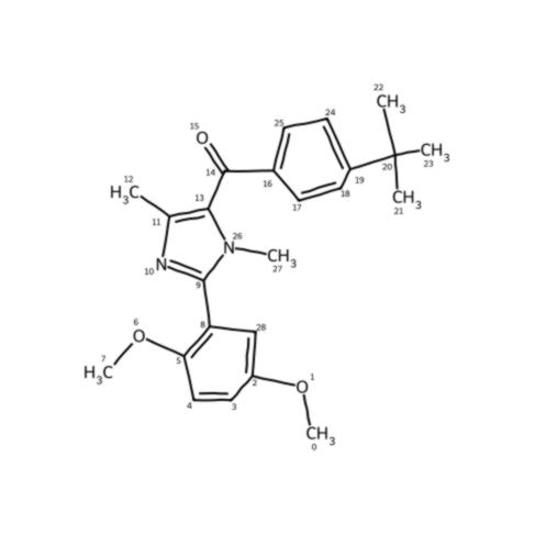 COc1ccc(OC)c(-c2nc(C)c(C(=O)c3ccc(C(C)(C)C)cc3)n2C)c1